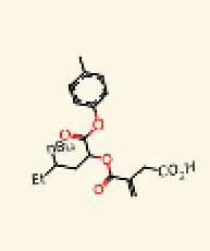 C=C(CC(=O)O)C(=O)OC(CC(CC)CCCC)C(=O)Oc1ccc(C)cc1